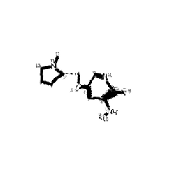 CCNc1cc(OC[C@@H]2CCCN2C)cnc1F